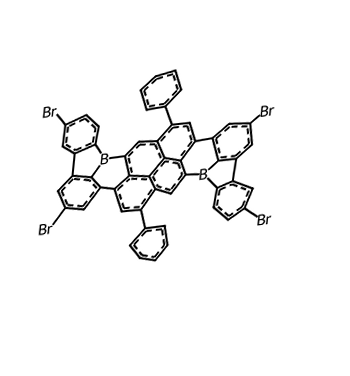 Brc1ccc2c(c1)-c1cc(Br)cc3c1B2c1cc2c(-c4ccccc4)cc4c5c(cc6c(-c7ccccc7)cc-3c1c6c25)B1c2ccc(Br)cc2-c2cc(Br)cc-4c21